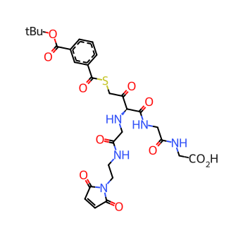 CC(C)(C)OC(=O)c1cccc(C(=O)SCC(=O)[C@H](NCC(=O)NCCN2C(=O)C=CC2=O)C(=O)NCC(=O)NCC(=O)O)c1